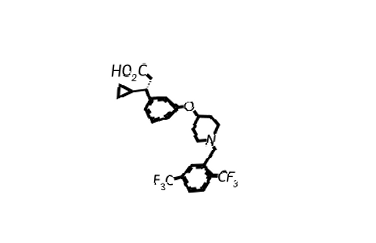 O=C(O)C[C@H](c1cccc(OC2CCN(Cc3cc(C(F)(F)F)ccc3C(F)(F)F)CC2)c1)C1CC1